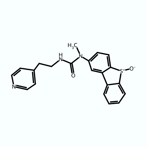 CN(C(=O)NCCc1ccncc1)c1ccc2c(c1)c1ccccc1[s+]2[O-]